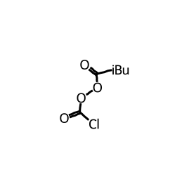 CCC(C)C(=O)OOC(=O)Cl